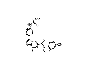 COC(=O)Nc1ccc(-c2cnc3c(C)nc(C(=O)N4CCCc5cc(C#N)ccc54)cn23)cn1